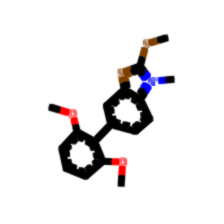 COc1cccc(OC)c1-c1ccc2c(c1)sc(SC)[n+]2C